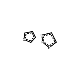 c1ccoc1.c1conn1